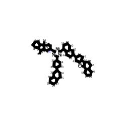 C=C/C(=C\C1=C(C)c2ccccc2C1(C)C)c1nc(-c2ccc(-c3ccc4ccccc4c3)cc2)nc(-c2cccc3cc(-c4ccc5c(c4)oc4c6ccccc6ccc54)ccc23)n1